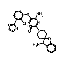 Nc1nc(N2CCC3(CC2)Oc2ccccc2C3N)c(=O)[nH]c1Sc1cccc(-c2ncco2)c1Cl